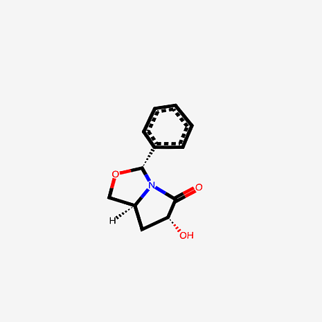 O=C1[C@H](O)C[C@H]2CO[C@H](c3ccccc3)N12